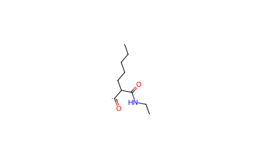 CCCCCC([C]=O)C(=O)NCC